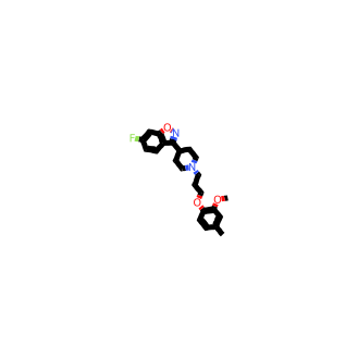 COc1cc(C)ccc1OCCCN1CCC(c2noc3cc(F)ccc23)CC1